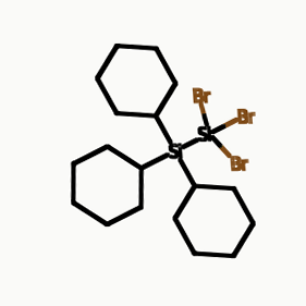 Br[Si](Br)(Br)[Si](C1CCCCC1)(C1CCCCC1)C1CCCCC1